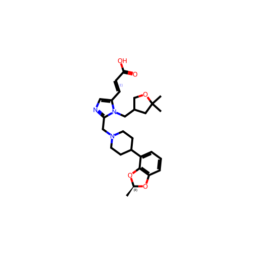 C[C@@H]1Oc2cccc(C3CCN(Cc4ncc(/C=C/C(=O)O)n4CC4COC(C)(C)C4)CC3)c2O1